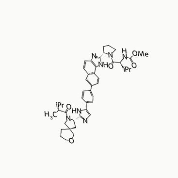 COC(=O)N[C@H](C(=O)N1CCC[C@H]1c1nc2ccc3cc(-c4ccc(-c5cnc([C@@H]6C[C@@]7(CCCOC7)CN6C(=O)[C@@H](C)C(C)C)[nH]5)cc4)ccc3c2[nH]1)C(C)C